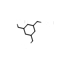 O=C(O)CC1CC(CC(=O)O)CC(CC(=O)O)C1